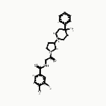 O=C(NCC(=O)N1CCC(N2CCC(O)(c3ccccc3)CC2)C1)c1ccc(Cl)c(Cl)c1